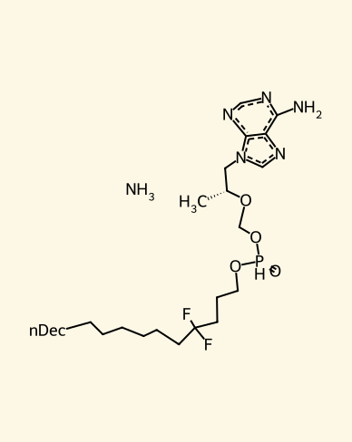 CCCCCCCCCCCCCCCCC(F)(F)CCCO[PH](=O)OCO[C@H](C)Cn1cnc2c(N)ncnc21.N